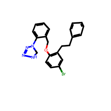 Brc1ccc(OCc2ccccc2N2CNN=N2)c(CCc2ccccc2)c1